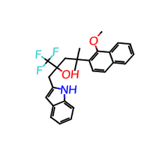 COc1c(C(C)(C)CC(O)(Cc2cc3ccccc3[nH]2)C(F)(F)F)ccc2ccccc12